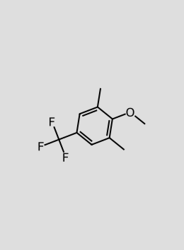 COc1c(C)cc(C(F)(F)F)cc1C